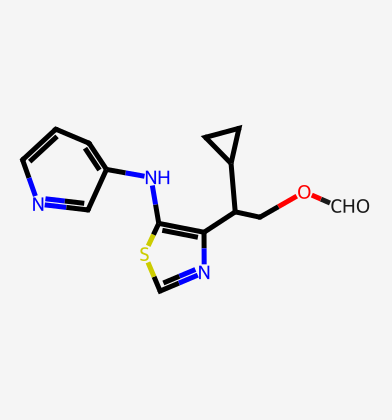 O=COCC(c1ncsc1Nc1cccnc1)C1CC1